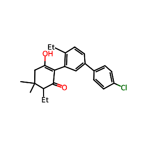 CCc1ccc(-c2ccc(Cl)cc2)cc1C1=C(O)CC(C)(C)C(CC)C1=O